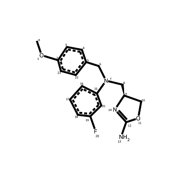 COc1ccc(CN(C[C@H]2COC(N)=N2)c2cccc(F)c2)cc1